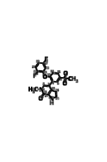 Cn1cc(-c2cc(S(C)(=O)=O)ccc2Oc2cc(F)ccc2F)c2cc[nH]c2c1=O